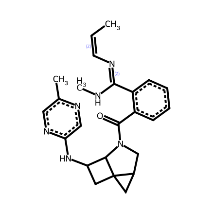 C/C=C\N=C(/NC)c1ccccc1C(=O)N1CC2CC23CC(Nc2cnc(C)cn2)C13